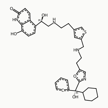 O=c1ccc2c([C@@H](O)CNCCc3csc(CNCCc4cnc([C@](O)(c5ccccc5)C5CCCCC5)o4)c3)ccc(O)c2[nH]1